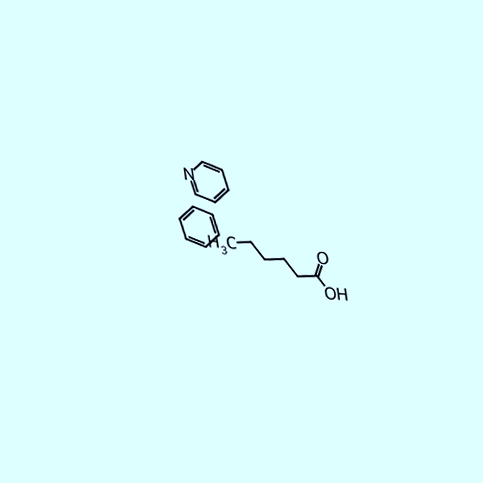 CCCCCC(=O)O.c1ccccc1.c1ccncc1